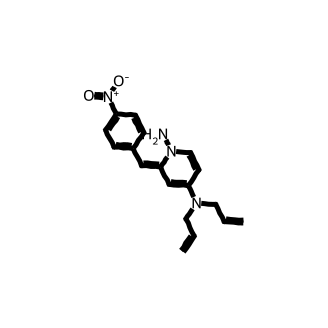 C=CCN(CC=C)C1=CC(=Cc2ccc([N+](=O)[O-])cc2)N(N)C=C1